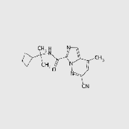 Cc1cc(C#N)nn2c(C(=O)NC(C)(C)C3CCC3)ncc12